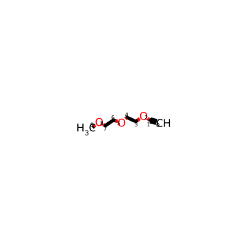 C#COCCOCCOC